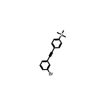 C[Si](C)(C)c1ccc(C#Cc2cccc(Br)c2)cc1